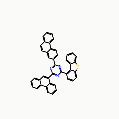 c1ccc2c(c1)ccc1cc(-c3nc(-c4cc5ccccc5c5ccccc45)nc(-c4cccc5sc6ccccc6c45)n3)ccc12